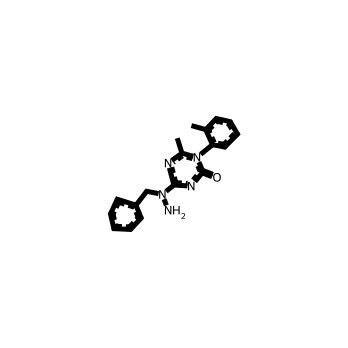 Cc1ccccc1-n1c(C)nc(N(N)Cc2ccccc2)nc1=O